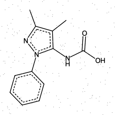 Cc1nn(-c2ccccc2)c(NC(=O)O)c1C